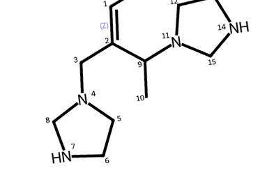 C/C=C(/CN1CCNC1)C(C)N1CCNC1